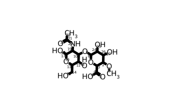 COC1C(C(=O)O)OC(OC2C(O)C(CO)OC(O)C2NC(C)=O)C(O)C1O